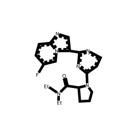 CCN(CC)C(=O)C1CCCN1c1ccnc(-c2cnc3ccc(F)cn23)n1